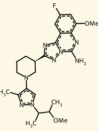 COc1cc(F)cc2c1nc(N)n1nc([C@@H]3CCCN(c4cn(C(C)C(C)OC)nc4C)C3)nc21